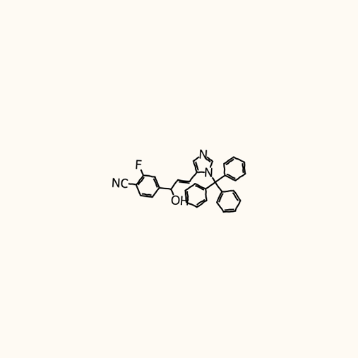 N#Cc1ccc(C(O)C=Cc2cncn2C(c2ccccc2)(c2ccccc2)c2ccccc2)cc1F